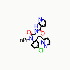 CCCN(C(=O)CNC(=O)c1cccnc1)c1ccc(Cl)cc1CCc1cccnn1